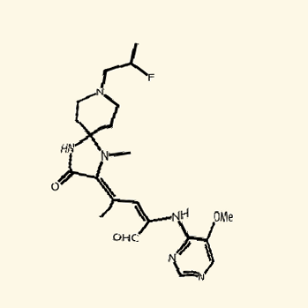 COc1cncnc1N/C(C=O)=C/C(C)=C1/C(=O)NC2(CCN(CC(C)F)CC2)N1C